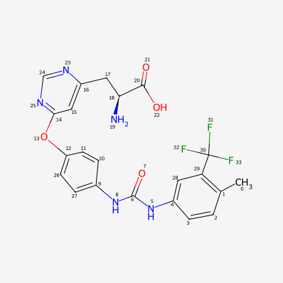 Cc1ccc(NC(=O)Nc2ccc(Oc3cc(C[C@H](N)C(=O)O)ncn3)cc2)cc1C(F)(F)F